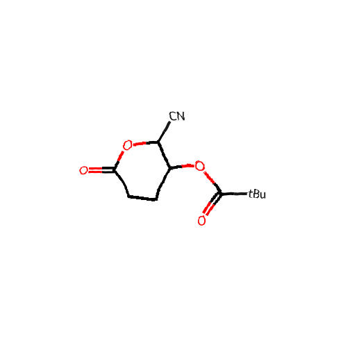 CC(C)(C)C(=O)OC1CCC(=O)OC1C#N